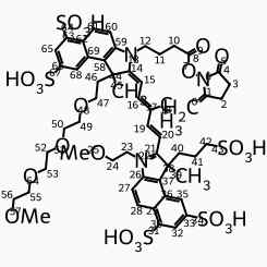 C=C1CCC(=O)N1OC(=O)CCCN1/C(=C/C=C(C)/C=C/C2=[N+](CCOC)c3ccc4c(S(=O)(=O)O)cc(S(=O)(=O)O)cc4c3C2(C)CCCS(=O)(=O)O)C(C)(CCOCCOCCOCCOC)c2c1ccc1c(S(=O)(=O)O)cc(S(=O)(=O)O)cc21